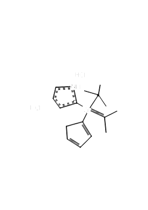 C[C](C)=[Zr]([C]1=CC=CC1)([c]1ccc[nH]1)[C](C)(C)C.Cl.Cl